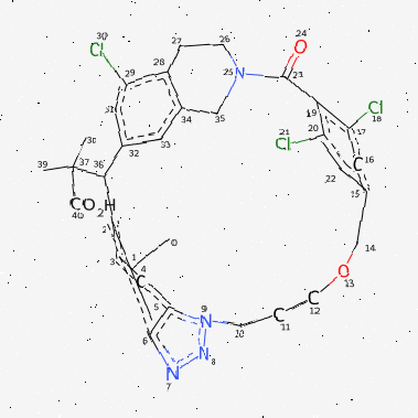 Cc1c2ccc3c1nnn3CCCOCc1cc(Cl)c(c(Cl)c1)C(=O)N1CCc3c(Cl)cc(cc3C1)C2C(C)(C)C(=O)O